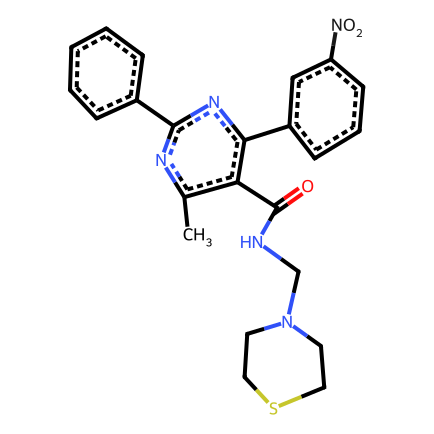 Cc1nc(-c2ccccc2)nc(-c2cccc([N+](=O)[O-])c2)c1C(=O)NCN1CCSCC1